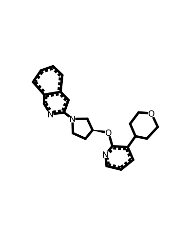 c1cnc(O[C@H]2CCN(c3cc4ccccc4cn3)C2)c(C2CCOCC2)c1